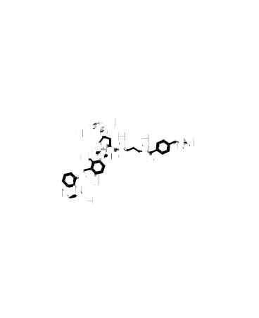 CS(=O)(=O)O.Cc1cnc2cccc(OCc3c(Cl)ccc(S(=O)(=O)N4CCC[C@H]4C(=O)NCCCNC(=O)c4ccc(C=NN)cc4)c3Cl)c2n1